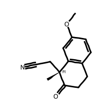 COc1ccc2c(c1)[C@@](C)(CC#N)C(=O)CC2